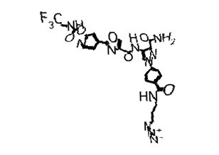 [N-]=[N+]=NCCCNC(=O)c1ccc(-n2cc(NC(=O)c3coc(-c4ccnc(OC(=O)NCC(F)(F)F)c4)n3)c(C(N)=O)n2)cc1